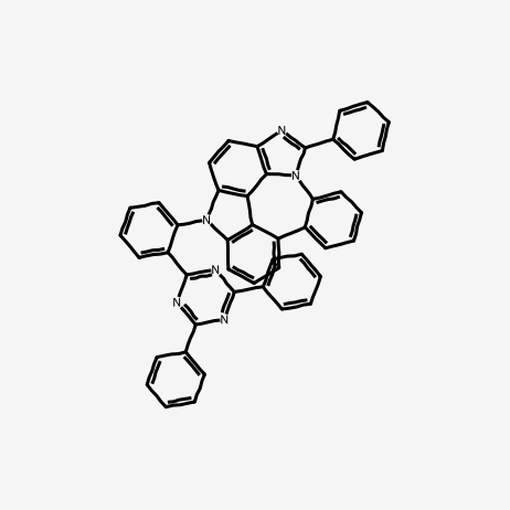 c1ccc(-c2nc(-c3ccccc3)nc(-c3ccccc3-n3c4cccc5c6ccccc6n6c(-c7ccccc7)nc7ccc3c(c54)c76)n2)cc1